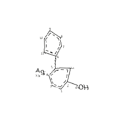 Oc1cccc(-c2ccccc2)c1.[Ag]